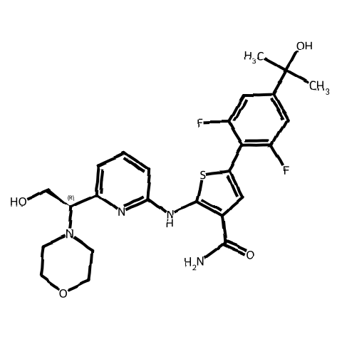 CC(C)(O)c1cc(F)c(-c2cc(C(N)=O)c(Nc3cccc([C@H](CO)N4CCOCC4)n3)s2)c(F)c1